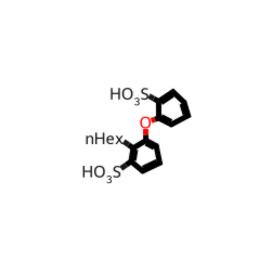 CCCCCCc1c(Oc2ccccc2S(=O)(=O)O)cccc1S(=O)(=O)O